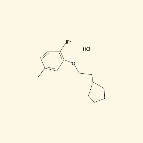 Cc1ccc(C(C)C)c(OCCN2CCCC2)c1.Cl